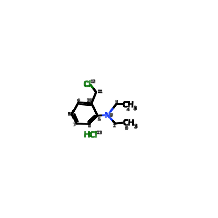 CCN(CC)c1ccccc1CCl.Cl